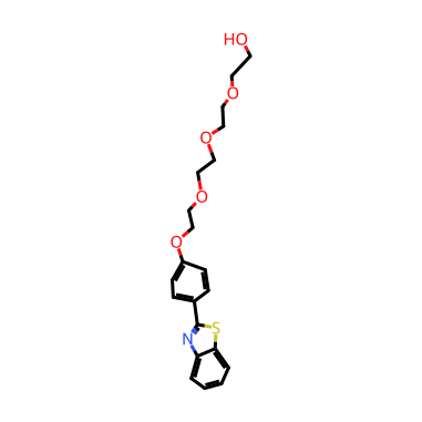 OCCOCCOCCOCCOc1ccc(-c2nc3ccccc3s2)cc1